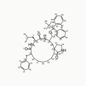 CC(C)C[C@@H]1NC(=O)C(Cc2ccccc2)CCCCCCC2(CCNC2=O)CC(CO[Si](c2ccccc2)(c2ccccc2)C(C)(C)C)NC1=O